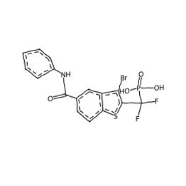 O=C(Nc1ccccc1)c1ccc2sc(C(F)(F)P(=O)(O)O)c(Br)c2c1